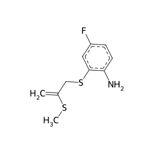 C=C(CSc1cc(F)ccc1N)SC